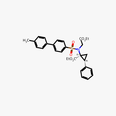 CCOC(=O)CN([C@@]1(C(=O)OCC)C[C@@H]1c1ccccc1)S(=O)(=O)c1ccc(-c2ccc(C)cc2)cc1